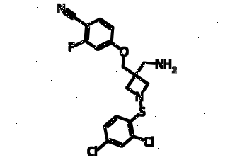 N#Cc1ccc(OCC2(CN)CN(Sc3ccc(Cl)cc3Cl)C2)cc1F